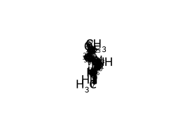 CCNCc1cncc(-c2ccc3[nH]nc(-c4cc5c(-c6cc(F)cc(OC)c6)cccc5[nH]4)c3n2)c1